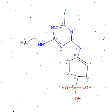 CCNc1nc(Cl)nc(Nc2ccc(S(=O)(=O)O)cc2)n1